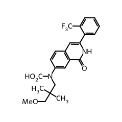 COCC(C)(C)CN(C(=O)O)c1ccc2cc(-c3ccccc3C(F)(F)F)[nH]c(=O)c2c1